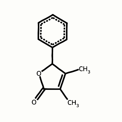 CC1=C(C)C(c2ccccc2)OC1=O